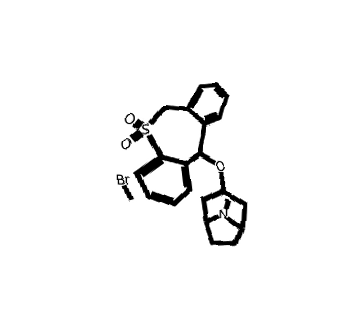 CBr.CN1C2CCC1CC(OC1c3ccccc3CS(=O)(=O)c3ccccc31)C2